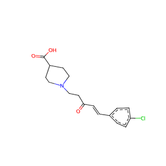 O=C(C=Cc1ccc(Cl)cc1)CCN1CCC(C(=O)O)CC1